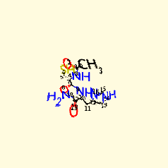 CC(=O)N[C@@H](CS)C(=O)N[C@@H](Cc1c[nH]cn1)C(N)=O